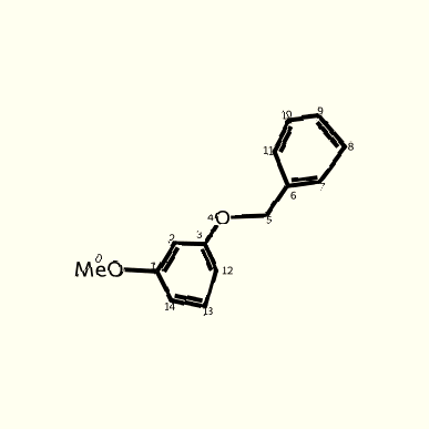 COc1[c]c(OCc2ccccc2)ccc1